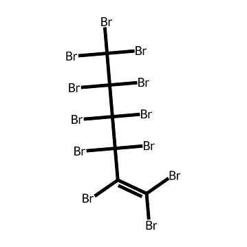 BrC(Br)=C(Br)C(Br)(Br)C(Br)(Br)C(Br)(Br)C(Br)(Br)Br